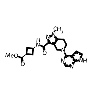 COC(=O)[C@H]1C[C@H](NC(=O)c2nn(C)c3c2CN(c2ncnc4[nH]ccc24)CC3)C1